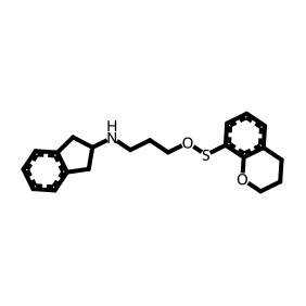 c1ccc2c(c1)CC(NCCCOSc1cccc3c1OCCC3)C2